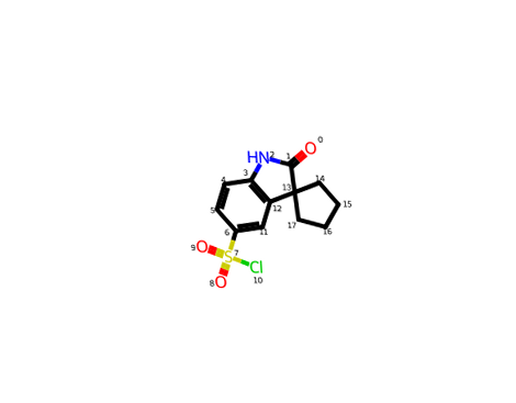 O=C1Nc2ccc(S(=O)(=O)Cl)cc2C12CCCC2